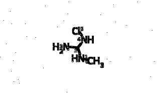 CNC(N)NCl